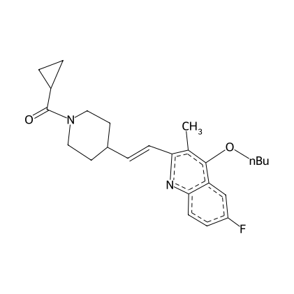 CCCCOc1c(C)c(/C=C/C2CCN(C(=O)C3CC3)CC2)nc2ccc(F)cc12